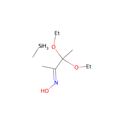 CCOC(C)(OCC)C(C)=NO.C[SiH3]